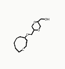 OCC1COC(COC2CCCCCCCC2)CO1